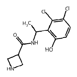 CC(NC(=O)C1CNC1)c1c(O)ccc(Cl)c1Cl